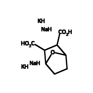 O=C(O)C1C2CCC(O2)C1C(=O)O.[KH].[KH].[NaH].[NaH]